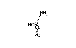 CC(=O)SCc1ccc(OCCCCCCN)cc1.Cl